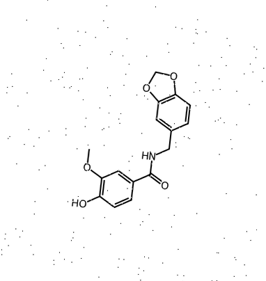 COc1cc(C(=O)NCc2ccc3c(c2)OCO3)ccc1O